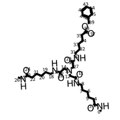 CNC(=O)CCCCCNC(=O)CN(CC(=O)NCCCCCC(=O)NC)CC(=O)NCCCCCC(=O)OCc1ccccc1